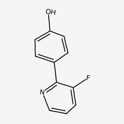 Oc1ccc(-c2ncccc2F)cc1